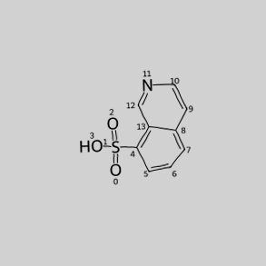 O=S(=O)(O)c1cccc2ccncc12